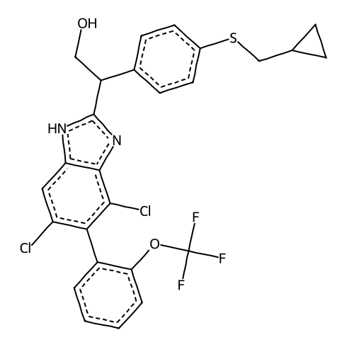 OCC(c1ccc(SCC2CC2)cc1)c1nc2c(Cl)c(-c3ccccc3OC(F)(F)F)c(Cl)cc2[nH]1